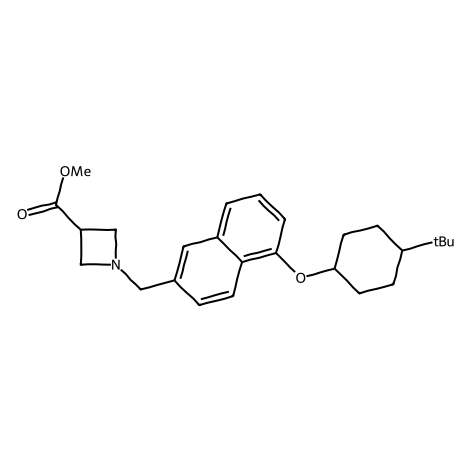 COC(=O)C1CN(Cc2ccc3c(OC4CCC(C(C)(C)C)CC4)cccc3c2)C1